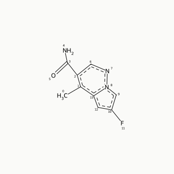 Cc1c(C(N)=O)cnn2cc(F)cc12